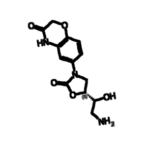 NCC(O)[C@H]1CN(c2ccc3c(c2)NC(=O)CO3)C(=O)O1